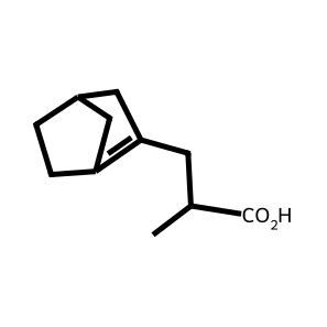 CC(CC1=C2CCC(C2)C1)C(=O)O